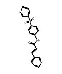 O=C(/C=C/c1cccnc1)Nc1ccc(S(=O)(=O)c2cccnc2)cc1